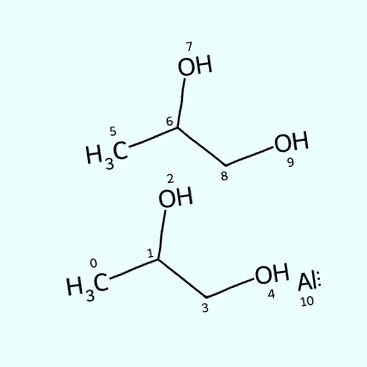 CC(O)CO.CC(O)CO.[Al]